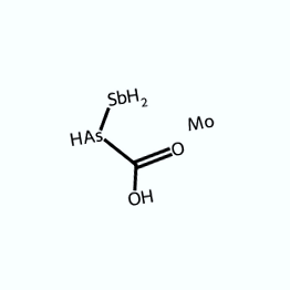 O=C(O)[AsH][SbH2].[Mo]